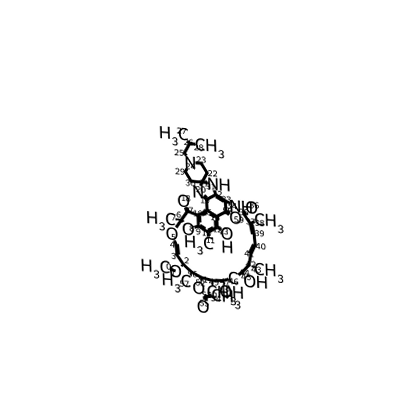 CO[C@H]1/C=C/O[C@@]2(C)Oc3c(C)c(O)c4c(c3C2=O)C2=NC3(CCN(CC(C)C)CC3)NC2=C(NC(=O)/C(C)=C\C=C\[C@H](C)[C@H](O)C[C@@H](O)[C@@H](C)[C@H](OC(C)=O)[C@@H]1C)C4=O